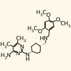 COc1cc(OC)c(OC)cc1CNC[C@H]1CC[C@@H](Nc2nc(C)c(C)c(N)n2)CC1